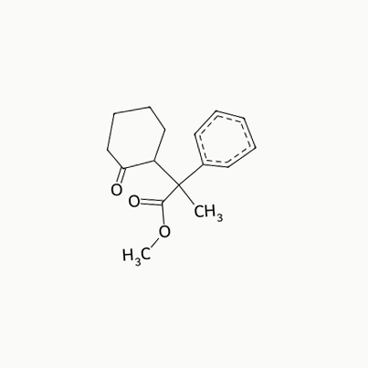 COC(=O)C(C)(c1ccccc1)C1CCCCC1=O